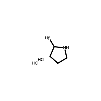 Cl.Cl.[Hf][CH]1CCCN1